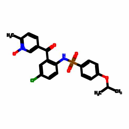 Cc1ccc(C(=O)c2cc(Cl)ccc2NS(=O)(=O)c2ccc(OC(C)C)cc2)c[n+]1[O-]